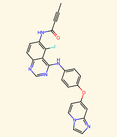 CC#CC(=O)Nc1ccc2ncnc(Nc3ccc(Oc4ccn5ccnc5c4)cc3)c2c1F